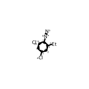 CCc1cc(Cl)ccc1[N+]#N.[Cl-]